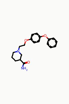 NC(=O)C1CCCN(CCOc2ccc(Oc3ccccc3)cc2)C1